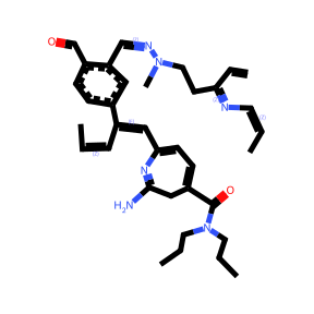 C=C/C(CCN(C)/N=C\c1cc(C(/C=C\C)=C/C2=CC=C(C(=O)N(CCC)CCC)CC(N)=N2)ccc1C=O)=N\C=C/C